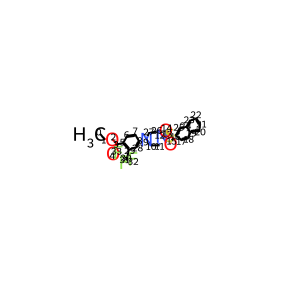 CCOC(=O)c1ccc(N2CCN(S(=O)(=O)c3ccc4ccccc4c3)CC2)cc1C(F)(F)F